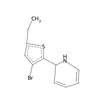 CCc1cc(Br)c(C2C=CC=CN2)s1